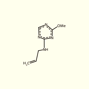 C=CCNc1ncnc(OC)n1